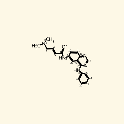 CN(C)CC=CC(=O)Nc1ccc2ncnc(Nc3ccccc3)c2c1